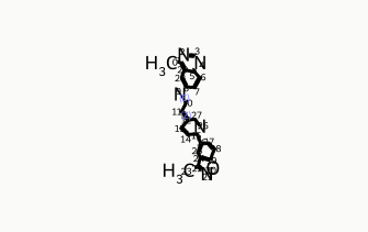 Cc1ncnc2ccc(/N=C/C=C3/C=CC(c4ccc5onc(C)c5c4)=NC3)cc12